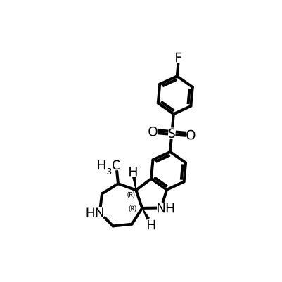 CC1CNCC[C@H]2Nc3ccc(S(=O)(=O)c4ccc(F)cc4)cc3[C@@H]12